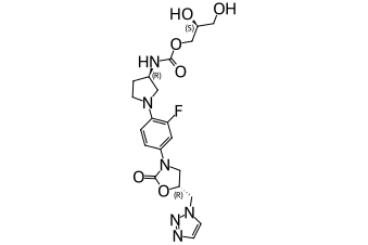 O=C(N[C@@H]1CCN(c2ccc(N3C[C@H](Cn4ccnn4)OC3=O)cc2F)C1)OC[C@@H](O)CO